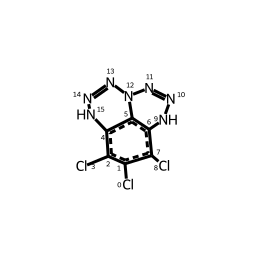 Clc1c(Cl)c2c3c(c1Cl)NN=NN3N=NN2